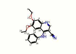 CCOc1cc2ncc(C#N)c(Nc3ccccc3)c2cc1OCC